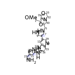 COCCOC(CN/C=C(\C=N)C1=CC2C(=CC=C(N/C(N)=C/C(=C\N)C(C)C)N2C)N=C1)CN1CCOCC1